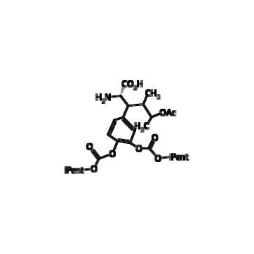 CCCC(C)OC(=O)Oc1ccc(C(C(C)C(C)OC(C)=O)[C@H](N)C(=O)O)cc1OC(=O)OC(C)CCC